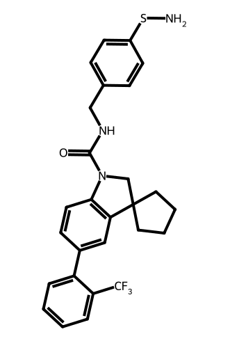 NSc1ccc(CNC(=O)N2CC3(CCCC3)c3cc(-c4ccccc4C(F)(F)F)ccc32)cc1